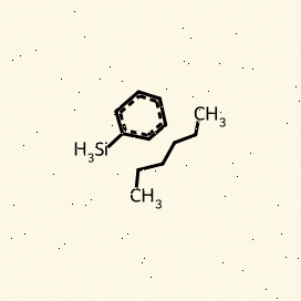 CCCCCC.[SiH3]c1ccccc1